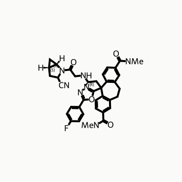 CNC(=O)c1ccc2c(c1)CCc1cc(C(=O)NC)ccc1C2(C[C@@H](C)NCC(=O)N1C(C#N)C[C@@H]2C[C@@H]21)c1nnc(-c2ccc(F)cc2)o1